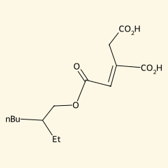 CCCCC(CC)COC(=O)C=C(CC(=O)O)C(=O)O